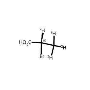 [2H]C([2H])([2H])[C@]([2H])(Br)C(=O)O